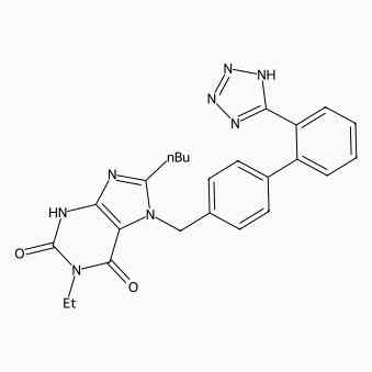 CCCCc1nc2[nH]c(=O)n(CC)c(=O)c2n1Cc1ccc(-c2ccccc2-c2nnn[nH]2)cc1